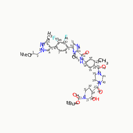 COCCn1cc(-c2ccc(-c3cnc(C(=O)Nc4ccc(C(=O)N5CCN(C(=O)C6CCN(C(=O)OC(C)(C)C)CC6O)CC5)c(C)c4)n3C)c(F)c2F)c(C)n1